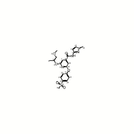 COCC(C)Oc1cc(C(=O)Nc2ccn(C)n2)cc(Oc2ccc(S(C)(=O)=O)cc2)n1